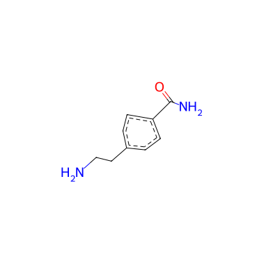 NCCc1ccc(C(N)=O)cc1